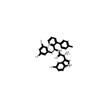 Cc1ccc(-c2cccnc2[C@H](Cc2cc(F)cc(F)c2)NC(=O)[C@@H](c2c[nH]c3ccc(F)cc23)C(F)(F)F)cc1